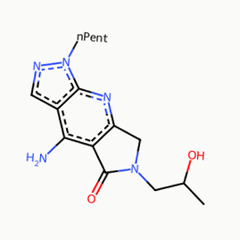 CCCCCn1ncc2c(N)c3c(nc21)CN(CC(C)O)C3=O